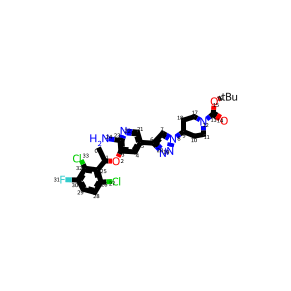 CC(Oc1cc(-c2cn(C3CCN(C(=O)OC(C)(C)C)CC3)nn2)cnc1N)c1c(Cl)ccc(F)c1Cl